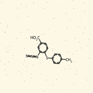 Cc1ccc(Sc2ccc(C(=O)O)cc2N=[N+]=[N-])cc1